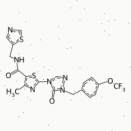 Cc1nc(-n2cnn(Cc3ccc(OC(F)(F)F)cc3)c2=O)sc1C(=O)NCc1cncs1